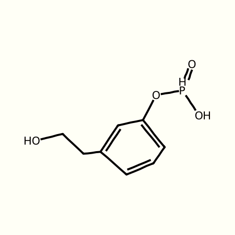 O=[PH](O)Oc1cccc(CCO)c1